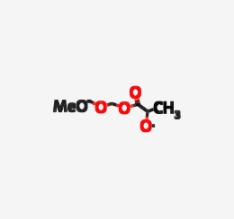 COCOCOC(=O)C(C)[O]